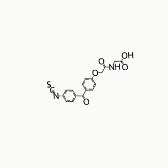 O=C(O)CNC(=O)COc1ccc(C(=O)c2ccc(N=C=S)cc2)cc1